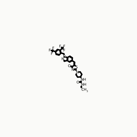 CCNC(=O)NC1CCN(C2=NC(=O)C(=Cc3ccc4c(cnn4Cc4ccc(C(F)(F)F)cc4C(F)(F)F)c3)S2)CC1